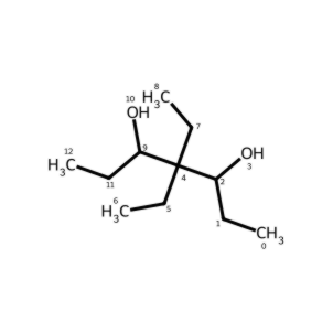 CCC(O)C(CC)(CC)C(O)CC